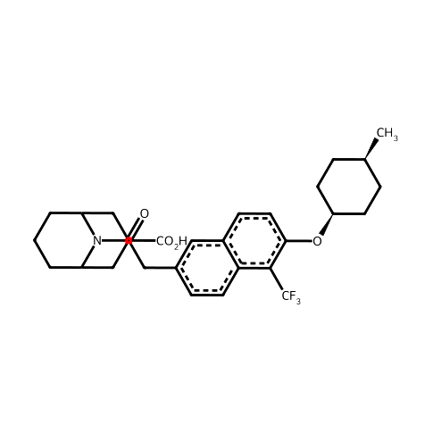 C[C@H]1CC[C@@H](Oc2ccc3cc(CC(=O)N4C5CCCC4CC(C(=O)O)C5)ccc3c2C(F)(F)F)CC1